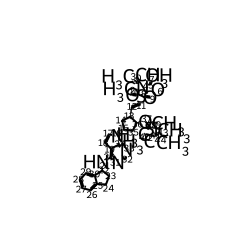 CC(C)(C)N(C(=O)O)S(=O)(=O)C=C[C@@H]1C[C@@H](n2ccc3c(N[C@H]4CCc5ccccc54)ncnc32)C[C@@H]1O[Si](C)(C)C(C)(C)C